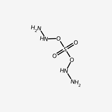 NNOS(=O)(=O)ONN